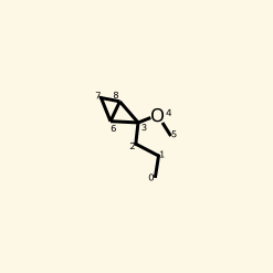 CCCC1(OC)C2CC21